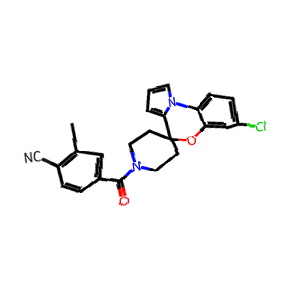 Cc1cc(C(=O)N2CCC3(CC2)Oc2cc(Cl)ccc2-n2cccc23)ccc1C#N